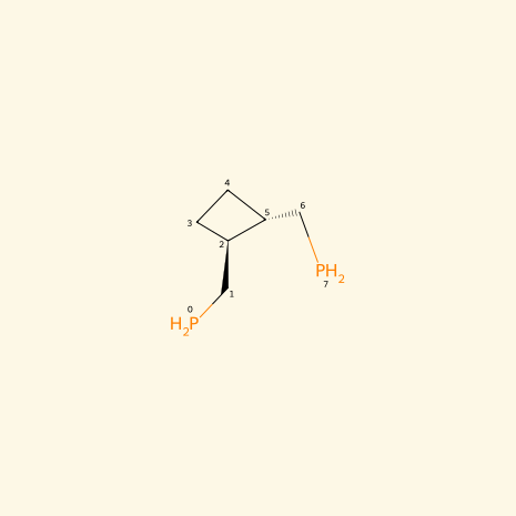 PC[C@H]1CC[C@@H]1CP